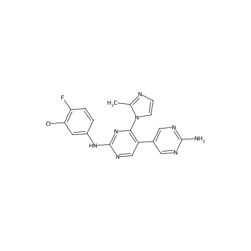 Cc1nccn1-c1nc(Nc2ccc(F)c(Cl)c2)ncc1-c1cnc(N)nc1